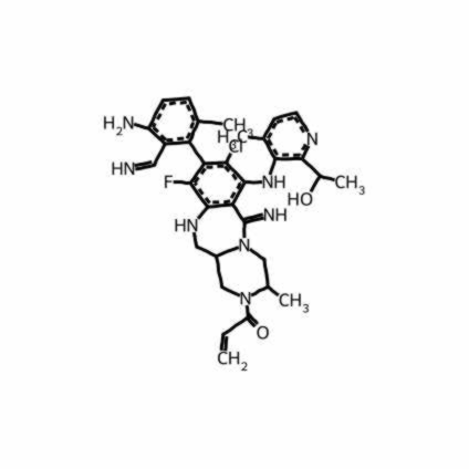 C=CC(=O)N1CC2CNc3c(F)c(-c4c(C)ccc(N)c4C=N)c(Cl)c(Nc4c(C)ccnc4C(C)O)c3C(=N)N2CC1C